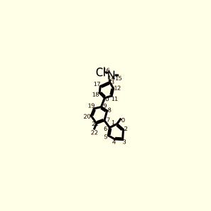 Cc1ccccc1-c1cc(-c2ccc(N(C)Cl)cc2)ccc1C